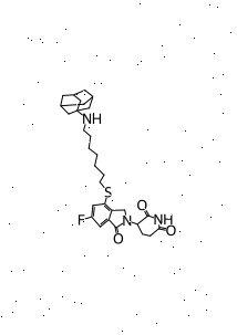 O=C1CCC(N2Cc3c(SCCCCCCCNC45CC6CC(CC(C6)C4)C5)cc(F)cc3C2=O)C(=O)N1